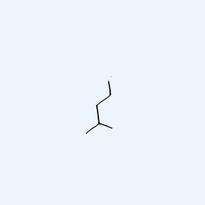 CC(Cl)CCC#N